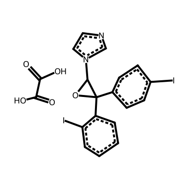 Ic1ccc(C2(c3ccccc3I)OC2n2ccnc2)cc1.O=C(O)C(=O)O